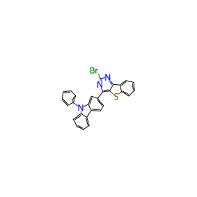 Brc1nc(-c2ccc3c4ccccc4n(-c4ccccc4)c3c2)c2sc3ccccc3c2n1